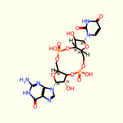 Nc1nc2c(ncn2[C@@H]2O[C@@H]3COP(=O)(O)O[C@@H]4C(O)[C@H](n5ccc(=O)[nH]c5=O)O[C@@H]4COP(=O)(O)OC3[C@@H]2O)c(=O)[nH]1